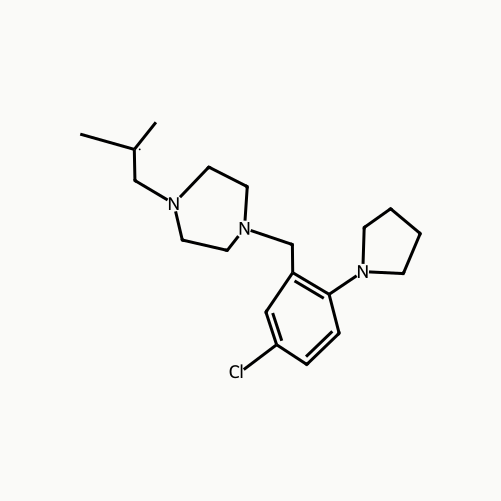 C[C](C)CN1CCN(Cc2cc(Cl)ccc2N2CCCC2)CC1